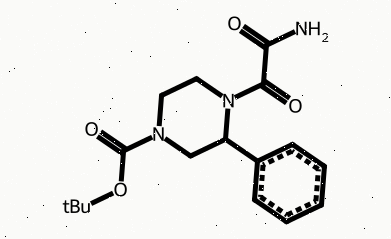 CC(C)(C)OC(=O)N1CCN(C(=O)C(N)=O)C(c2ccccc2)C1